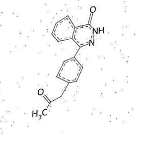 CC(=O)Cc1ccc(-c2n[nH]c(=O)c3ccccc23)cc1